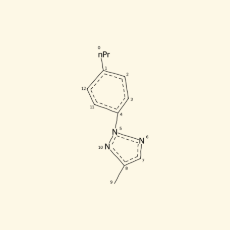 CCCc1ccc(-n2ncc(C)n2)cc1